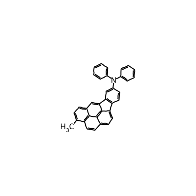 Cc1ccc2cc3c4c(ccc5ccc1c2c54)-c1ccc(N(c2ccccc2)c2ccccc2)cc1-3